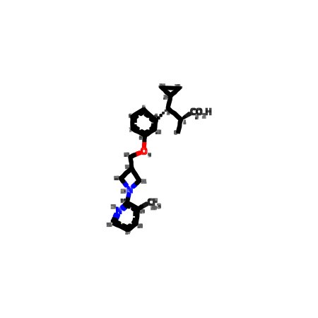 C[C@H](C(=O)O)[C@H](c1cccc(OCC2CN(c3ncccc3C(F)(F)F)C2)c1)C1CC1